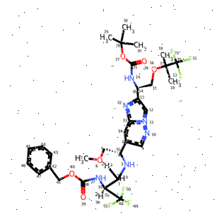 [2H]C([2H])(N[C@H](COC)c1cnn2cc([C@H](COC(C)(C)C(F)(F)F)NC(=O)OC(C)(C)C)nc2c1)[C@]([2H])(NC(=O)OCc1ccccc1)C(F)(F)F